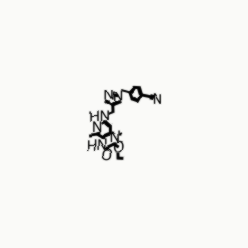 CCOC1C(=O)Nc2c(cc(NCc3cnn(Cc4ccc(C#N)cc4)c3)nc2C)N1C